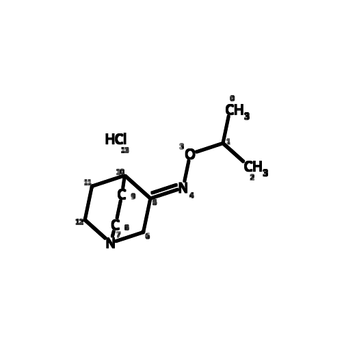 CC(C)ON=C1CN2CCC1CC2.Cl